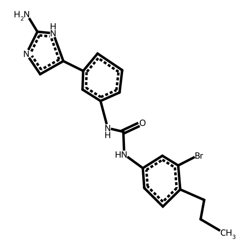 CCCc1ccc(NC(=O)Nc2cccc(-c3cnc(N)[nH]3)c2)cc1Br